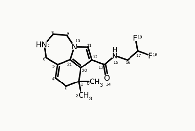 CC1(C)CC=C2CNCCn3cc(C(=O)NCC(F)F)c1c32